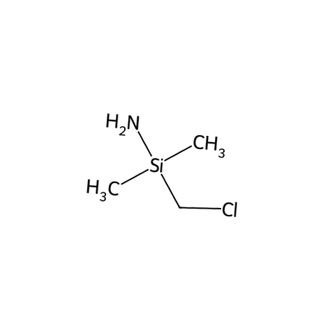 C[Si](C)(N)CCl